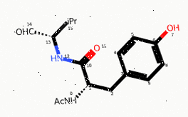 CC(=O)N[C@@H](Cc1ccc(O)cc1)C(=O)N[C@H]([C]=O)C(C)C